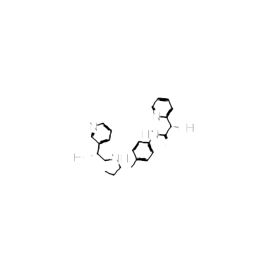 C[C@@H](C(=O)Nc1ccc(C[C@@H]2CC[C@H]([C@H](O)c3cccnc3)N2)cc1)c1ccccn1